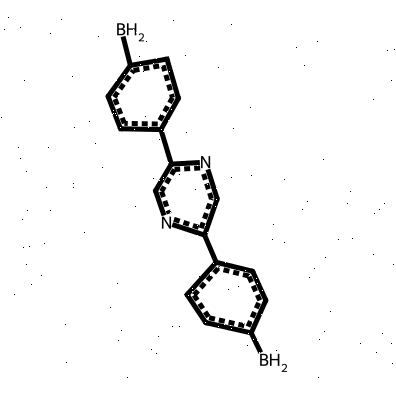 Bc1ccc(-c2cnc(-c3ccc(B)cc3)cn2)cc1